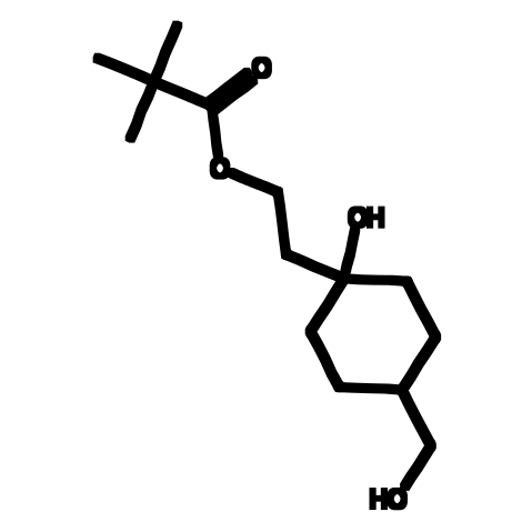 CC(C)(C)C(=O)OCCC1(O)CCC(CO)CC1